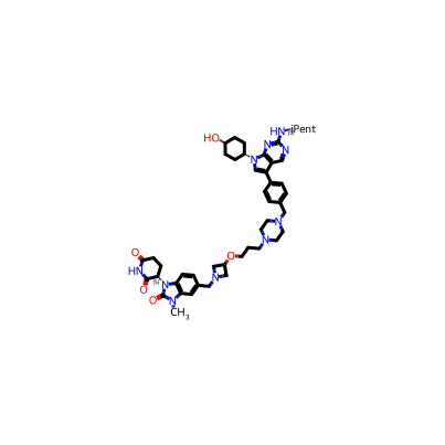 CCC[C@H](C)Nc1ncc2c(-c3ccc(CN4CCN(CCCOC5CN(Cc6ccc7c(c6)n(C)c(=O)n7[C@H]6CCC(=O)NC6=O)C5)CC4)cc3)cn([C@H]3CC[C@H](O)CC3)c2n1